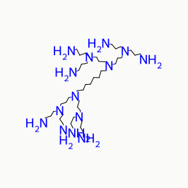 NCCCN(CCCN)CCCN(CCCCCCCCN(CCCN(CCCN)CCCN)CCCN(CCCN)CCCN)CCCN(CCCN)CCCN